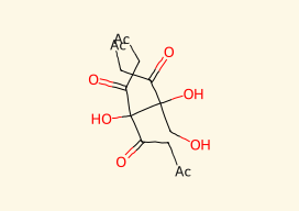 CC(=O)CC(=O)C(O)(CO)C(O)(C(=O)CC(C)=O)C(=O)CC(C)=O